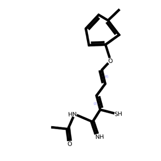 CC(=O)NC(=N)/C(S)=C/C=C/Oc1cccc(C)c1